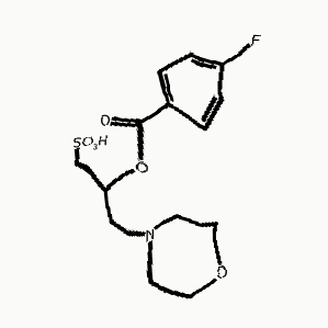 O=C(OC(CN1CCOCC1)CS(=O)(=O)O)c1ccc(F)cc1